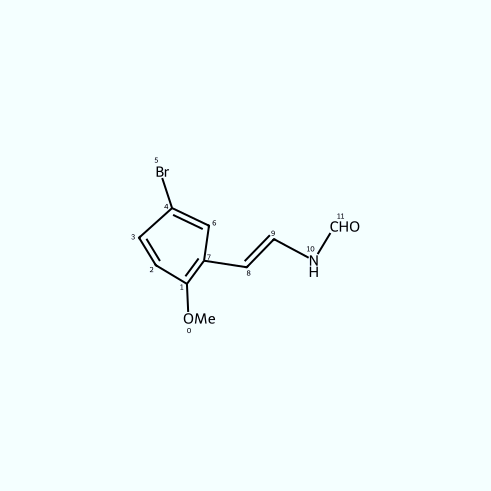 COc1ccc(Br)cc1/C=C/NC=O